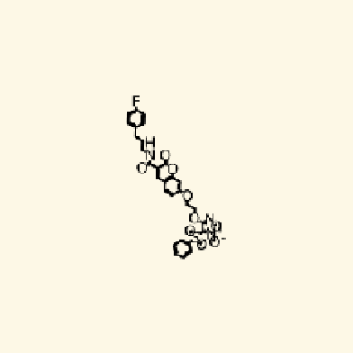 O=C(NCCCc1ccc(F)cc1)c1cc2ccc(OCCOc3no[n+]([O-])c3S(=O)(=O)c3ccccc3)cc2oc1=O